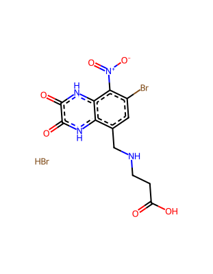 Br.O=C(O)CCNCc1cc(Br)c([N+](=O)[O-])c2[nH]c(=O)c(=O)[nH]c12